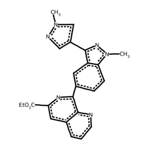 CCOC(=O)c1cc2cccnc2c(-c2ccc3c(c2)c(-c2cnn(C)c2)nn3C)n1